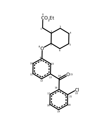 CCOC(=O)CC1CCCCC1Oc1cccc(C(=O)c2ccccc2Cl)c1